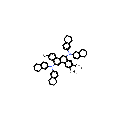 Cc1ccc2c(c1)c(N(c1ccc3c(c1)CCCC3)c1ccc3c(c1)CCCC3)cc1c3cc(C)c(C)cc3c(N(c3ccc4c(c3)CCCC4)c3ccc4c(c3)CCCC4)cc21